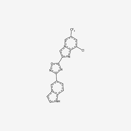 FC(F)(F)c1cc(Cl)c2nc(-c3nc(-c4ccc5[nH]ccc5c4)no3)cn2c1